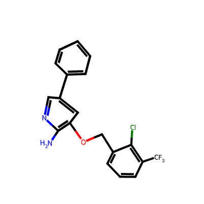 Nc1ncc(-c2ccccc2)cc1OCc1cccc(C(F)(F)F)c1Cl